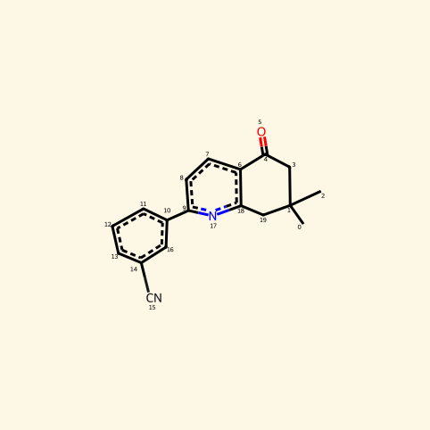 CC1(C)CC(=O)c2ccc(-c3cccc(C#N)c3)nc2C1